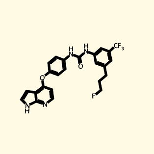 O=C(Nc1ccc(Oc2ccnc3[nH]ccc23)cc1)Nc1cc(CCCF)cc(C(F)(F)F)c1